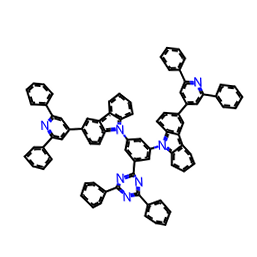 c1ccc(-c2cc(-c3ccc4c(c3)c3ccccc3n4-c3cc(-c4nc(-c5ccccc5)nc(-c5ccccc5)n4)cc(-n4c5ccccc5c5cc(-c6cc(-c7ccccc7)nc(-c7ccccc7)c6)ccc54)c3)cc(-c3ccccc3)n2)cc1